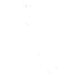 CC(=O)NC[C@H]1CN(c2ccc(OC3CCN(c4ccc5nonc5c4)CC3)c(F)c2)C(=O)O1